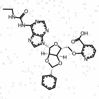 CCNC(=O)Nc1ncnc2c1ncn2[C@@H]1O[C@H](COc2ncccc2C(=O)O)[C@H]2O[C@H](c3ccccc3)O[C@H]21